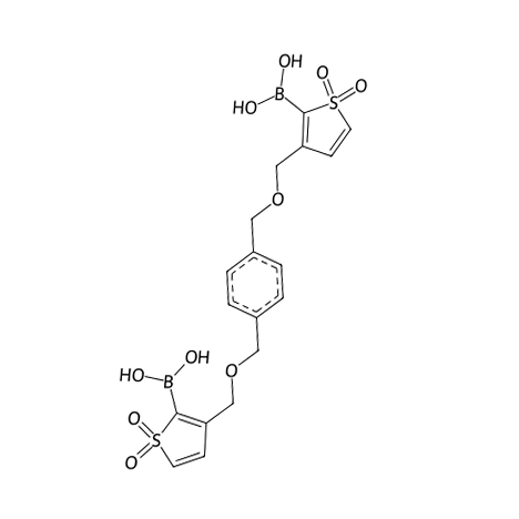 O=S1(=O)C=CC(COCc2ccc(COCC3=C(B(O)O)S(=O)(=O)C=C3)cc2)=C1B(O)O